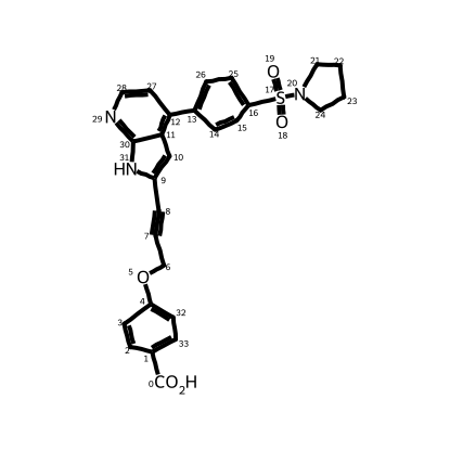 O=C(O)c1ccc(OCC#Cc2cc3c(-c4ccc(S(=O)(=O)N5CCCC5)cc4)ccnc3[nH]2)cc1